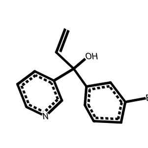 C=CC(O)(c1cccnc1)c1cccc(Br)c1